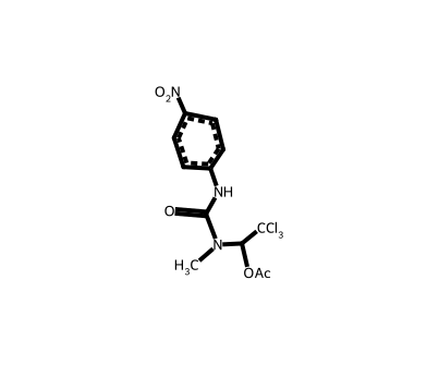 CC(=O)OC(N(C)C(=O)Nc1ccc([N+](=O)[O-])cc1)C(Cl)(Cl)Cl